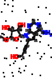 COC1OC(n2c(C#CCO)cc3c(N)ncnc32)C(O)C1O